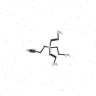 CC=C[Si](C=CC)(CCC)CCC#N